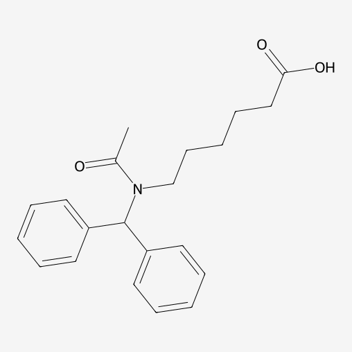 CC(=O)N(CCCCCC(=O)O)C(c1ccccc1)c1ccccc1